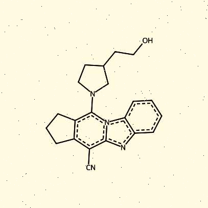 N#Cc1c2c(c(N3CCC(CCO)C3)n3c1nc1ccccc13)CCC2